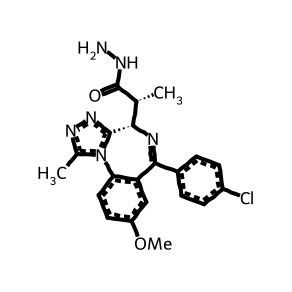 COc1ccc2c(c1)C(c1ccc(Cl)cc1)=N[C@@H]([C@@H](C)C(=O)NN)c1nnc(C)n1-2